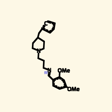 COc1ccc(/C=N/CCCN2CCC(Cc3ccccc3)CC2)c(OC)c1